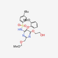 COCOCc1nc(NS(=O)(=O)c2ccc(C(C)(C)C)cc2)c(Oc2ccccc2OC)c(OCCO)n1